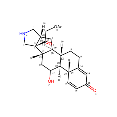 CC(=O)OCC(=O)[C@@]12CNC[C@@H]1C[C@H]1[C@@H]3CCC4=CC(=O)C=C[C@]4(C)[C@H]3C(O)C[C@@]12C